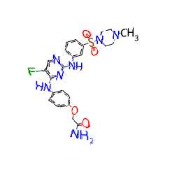 CN1CCN(S(=O)(=O)c2cccc(Nc3ncc(F)c(Nc4ccc(OCC(N)=O)cc4)n3)c2)CC1